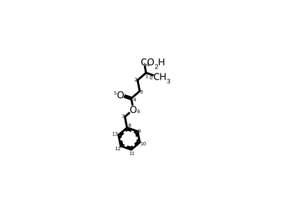 CC(CCC(=O)OCc1ccccc1)C(=O)O